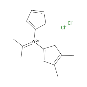 CC1=C(C)C[C]([Zr+2]([C]2=CC=CC2)=[C](C)C)=C1.[Cl-].[Cl-]